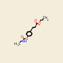 C=CCOC(=O)CCc1ccc(OC(=O)NCC)cc1